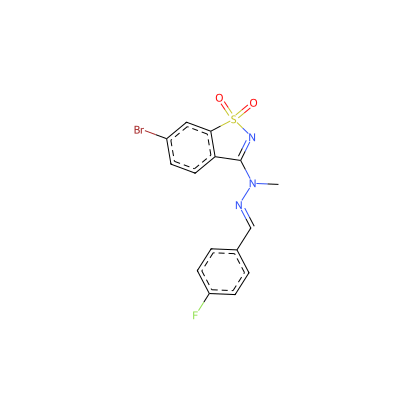 CN(/N=C/c1ccc(F)cc1)C1=NS(=O)(=O)c2cc(Br)ccc21